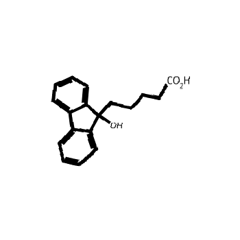 O=C(O)CCCCC1(O)c2ccccc2-c2ccccc21